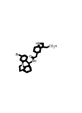 O=C(O)Cc1c[nH]c2ccc(CC(=O)NC(c3ccccc3)c3ccc(Br)cc3N3CCCC3)cc12